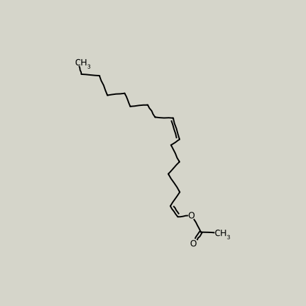 CCCCCCCC/C=C\CCCC/C=C\OC(C)=O